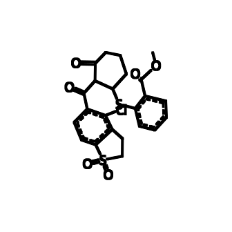 COC(=O)c1ccccc1SC1CCCC(=O)C1C(=O)c1ccc2c(c1Cl)CCS2(=O)=O